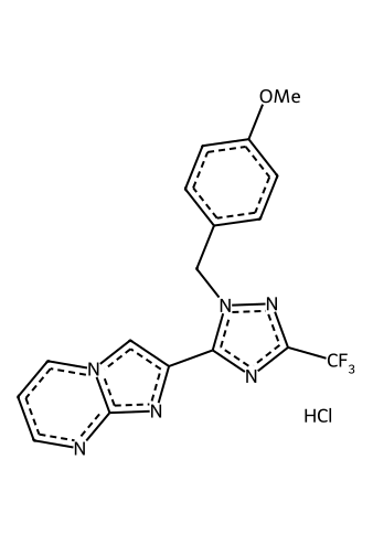 COc1ccc(Cn2nc(C(F)(F)F)nc2-c2cn3cccnc3n2)cc1.Cl